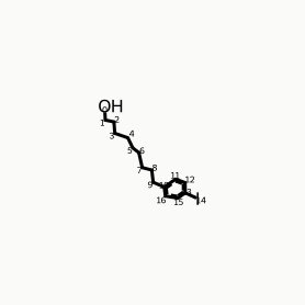 OCCCCCCCCCc1ccc(I)cc1